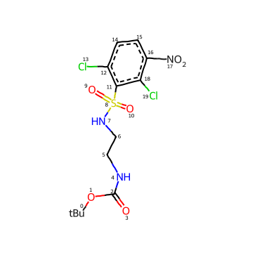 CC(C)(C)OC(=O)NCCNS(=O)(=O)c1c(Cl)ccc([N+](=O)[O-])c1Cl